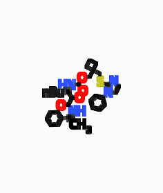 CCCC[C@H](NC(=O)OCC1(CSc2nccn2-c2ccccc2)CCC1)C(=O)C(=O)N[C@H](C)c1ccccc1